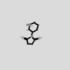 O=C1CCC(=O)N1C1CCCNC1